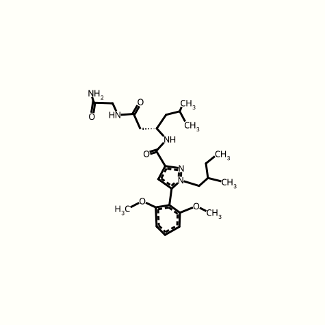 CCC(C)Cn1nc(C(=O)N[C@H](CC(=O)NCC(N)=O)CC(C)C)cc1-c1c(OC)cccc1OC